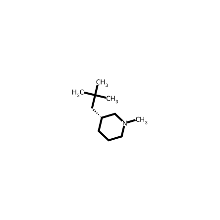 CN1CCC[C@H](CC(C)(C)C)C1